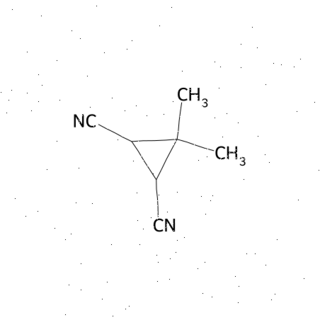 CC1(C)C(C#N)C1C#N